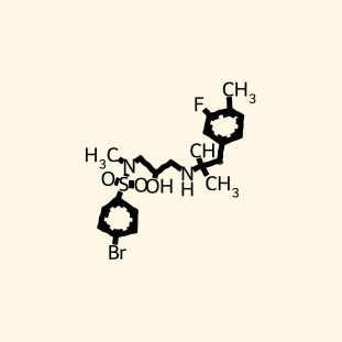 Cc1ccc(CC(C)(C)NCC(O)CN(C)S(=O)(=O)c2ccc(Br)cc2)cc1F